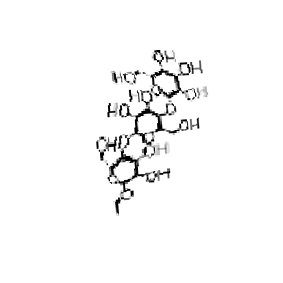 CCO[C@H]1O[C@H](CO)[C@@H](O[C@@H]2O[C@H](CO)[C@H](O[C@@H]3O[C@H](CO)[C@H](O)[C@H](O)[C@H]3O)[C@H](O)[C@H]2O)[C@H](O)[C@H]1O